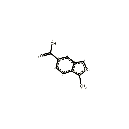 [CH2]c1scc2cc(C(=O)O)ccc12